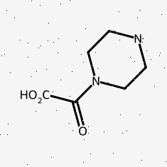 O=C(O)C(=O)N1CC[N]CC1